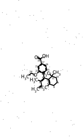 C=C/C(C)=C(\C1=C(C)CCCC1(C)C)c1ccc(C(=O)O)cc1OCC